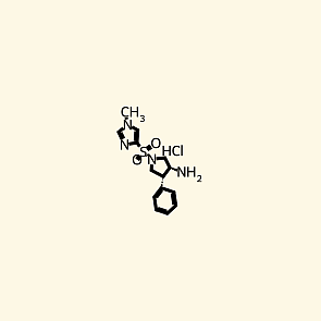 Cl.Cn1cnc(S(=O)(=O)N2C[C@@H](N)[C@H](c3ccccc3)C2)c1